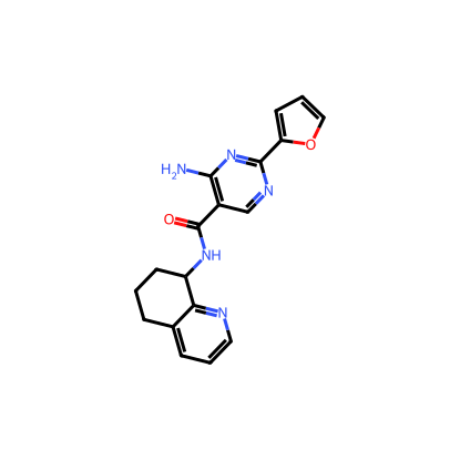 Nc1nc(-c2ccco2)ncc1C(=O)NC1CCCc2cccnc21